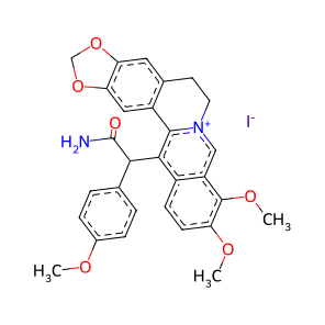 COc1ccc(C(C(N)=O)c2c3[n+](cc4c(OC)c(OC)ccc24)CCc2cc4c(cc2-3)OCO4)cc1.[I-]